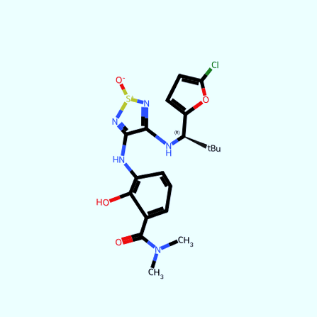 CN(C)C(=O)c1cccc(Nc2n[s+]([O-])nc2N[C@@H](c2ccc(Cl)o2)C(C)(C)C)c1O